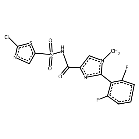 Cn1cc(C(=O)NS(=O)(=O)c2cnc(Cl)s2)nc1-c1c(F)cccc1F